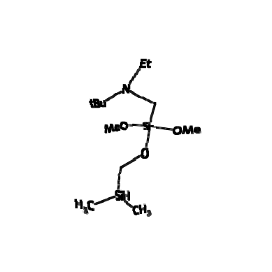 CCN(C[Si](OC)(OC)OC[SiH](C)C)C(C)(C)C